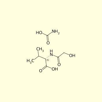 CC(C)[C@H](NC(=O)CO)C(=O)O.NC(=O)O